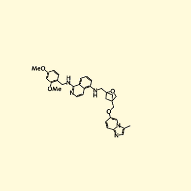 COc1ccc(CNc2nccc3c(NCC45CC(COc6ccc7ncc(C)n7c6)(CO4)C5)cccc23)c(OC)c1